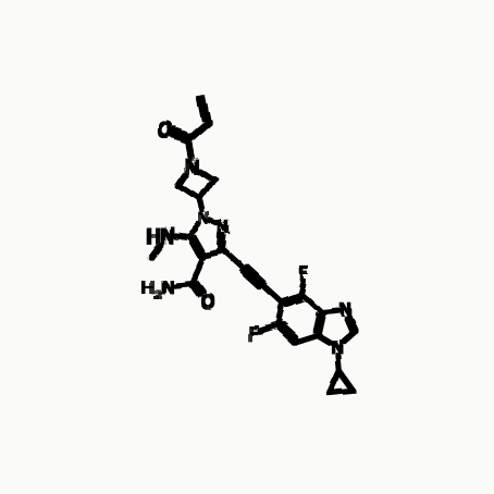 C=CC(=O)N1CC(n2nc(C#Cc3c(F)cc4c(ncn4C4CC4)c3F)c(C(N)=O)c2NC)C1